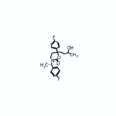 CC(O)CCC1(c2ccc(F)cc2)CCN([C@@H](C)c2ccc(F)cc2)C(=O)O1